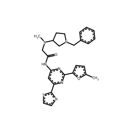 Cc1ccc(-c2nc(NC(=O)CN(C)C3CCN(Cc4ccccc4)C3)cc(-c3nccs3)n2)o1